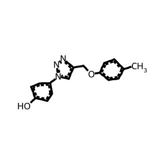 Cc1ccc(OCc2cn(-c3ccc(O)cc3)nn2)cc1